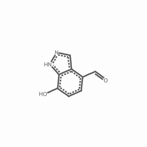 O=Cc1ccc(O)c2[nH]ncc12